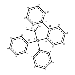 CC(C)[Si](c1ccccc1)(c1ccccc1)c1ccccc1-c1ncccn1